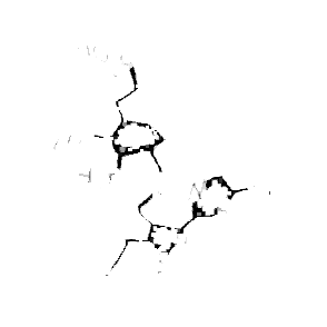 Cc1c(CCC(=O)O)ccc(OCc2c(-c3ncc(Cl)s3)nsc2CF)c1C